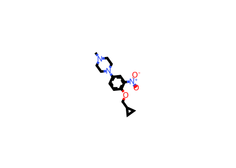 CN1CCN(c2ccc(OCC3CC3)c([N+](=O)[O-])c2)CC1